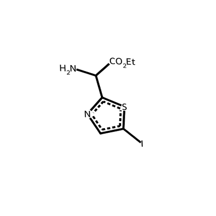 CCOC(=O)C(N)c1ncc(I)s1